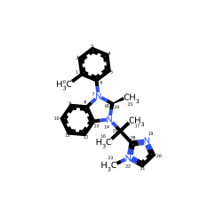 Cc1ccccc1N1c2ccccc2N(C(C)(C)c2nccn2C)[C@@H]1C